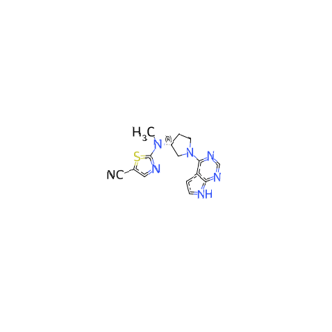 CN(c1ncc(C#N)s1)[C@@H]1CCN(c2ncnc3[nH]ccc23)C1